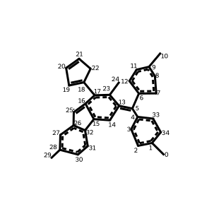 Cc1ccc(C(c2ccc(C)cc2)=c2cc3c(c(C4=CC=CC4)c2C)=[C]c2cc(C)ccc2-3)cc1